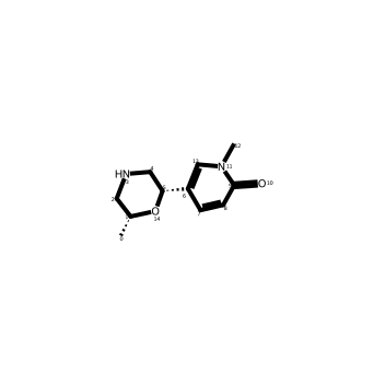 C[C@@H]1CNC[C@H](c2ccc(=O)n(C)c2)O1